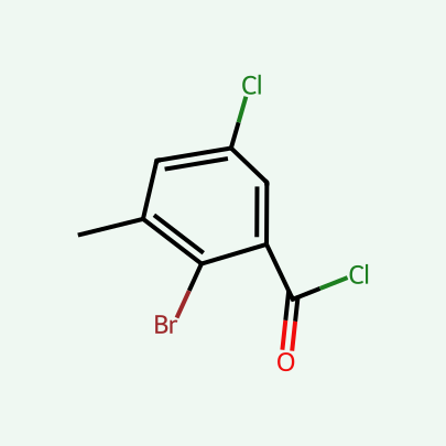 Cc1cc(Cl)cc(C(=O)Cl)c1Br